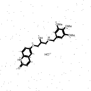 COc1cc(CNCC(O)COc2ccc3[nH]c(=O)ccc3c2)cc(OC)c1OC.Cl